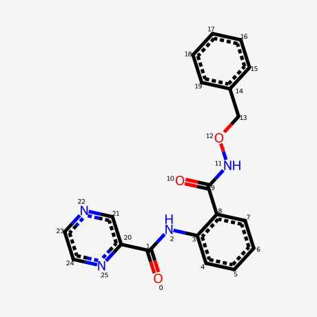 O=C(Nc1ccccc1C(=O)NOCc1ccccc1)c1cnccn1